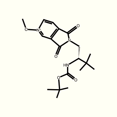 CO[n+]1ccc2c(c1)C(=O)N(C[C@@H](NC(=O)OC(C)(C)C)C(C)(C)C)C2=O